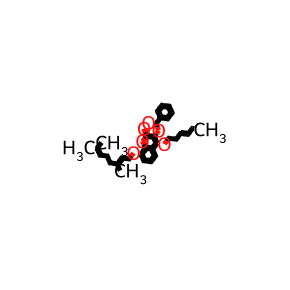 CCC=CCCOc1c(OC(=O)c2ccccc2)c(=O)oc2c(OC/C=C(\C)CCC=C(C)C)cccc12